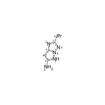 CC(C)c1nc2cc(N)[nH]n2n1